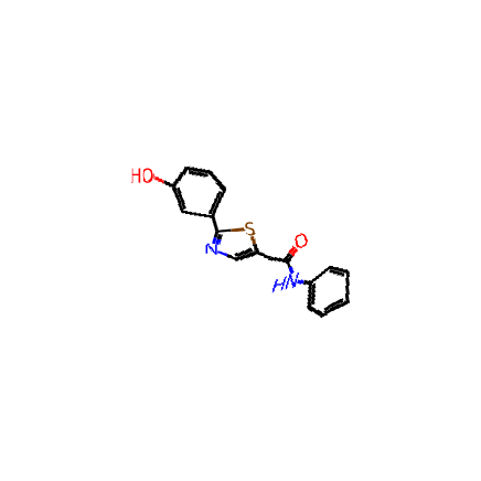 O=C(Nc1ccccc1)c1cnc(-c2cccc(O)c2)s1